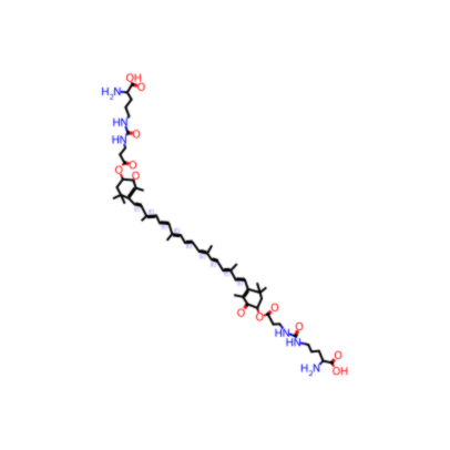 CC1=C(/C=C/C(C)=C/C=C/C(C)=C/C=C/C=C(C)/C=C/C=C(C)/C=C/C2=C(C)C(=O)C(OC(=O)CCNC(=O)NCCCC(N)C(=O)O)CC2(C)C)C(C)(C)CC(OC(=O)CCNC(=O)NCCCC(N)C(=O)O)C1=O